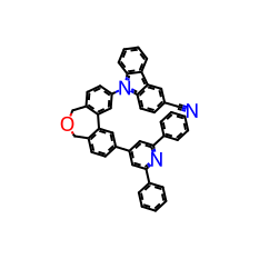 N#Cc1ccc2c(c1)c1ccccc1n2-c1ccc2c(c1)-c1cc(-c3cc(-c4ccccc4)nc(-c4ccccc4)c3)ccc1COC2